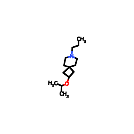 CCCN1CCC2(CC1)CC(OC(C)C)C2